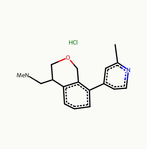 CNCC1COCc2c(-c3ccnc(C)c3)cccc21.Cl